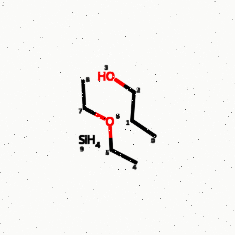 CCCO.CCOCC.[SiH4]